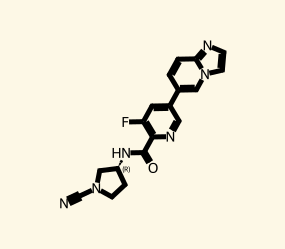 N#CN1CC[C@@H](NC(=O)c2ncc(-c3ccc4nccn4c3)cc2F)C1